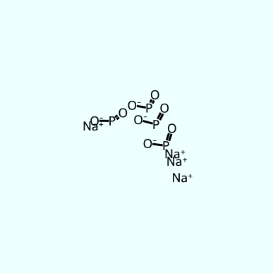 O=P[O-].O=P[O-].O=P[O-].O=P[O-].[Na+].[Na+].[Na+].[Na+]